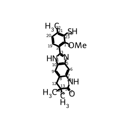 COc1c(-c2nc3cc4c(cc3[nH]2)CC(C)(C)C(=O)N4)ccc(C)c1S